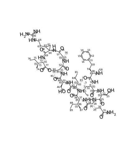 CC[C@H](C)[C@H](NC(=O)[C@@H](CCc1ccccc1)NC)C(=O)N[C@@H](CO)C(=O)N[C@H](CCC(N)=O)C(=O)N[C@@H](C(=O)N[C@H](C(=O)N[C@@H](CO)C(=O)N[C@H]1C(=O)N[C@@H](C)C(=O)NC2(CC2CCNC(=N)N)C(=O)N[C@@H]([C@@H](C)CC)C(=O)O[C@H]1C)[C@@H](C)CC)[C@@H](C)CC